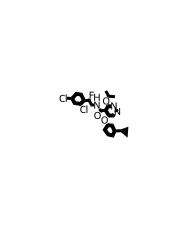 CC(C)Oc1nncc(Oc2cccc(C3CC3)c2)c1C(=O)NCC(F)c1ccc(Cl)cc1Cl